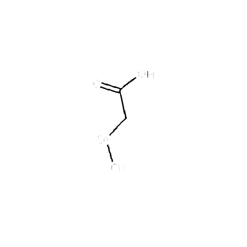 C[Se]CC(=O)O